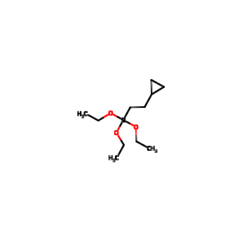 CCO[Si](CCC1CC1)(OCC)OCC